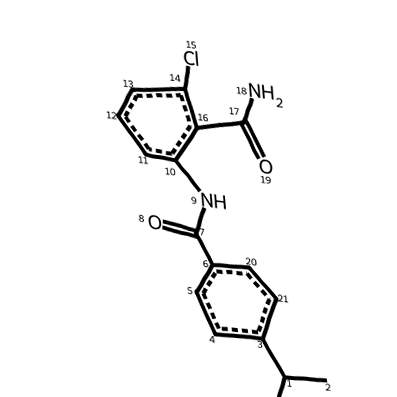 CC(C)c1ccc(C(=O)Nc2cccc(Cl)c2C(N)=O)cc1